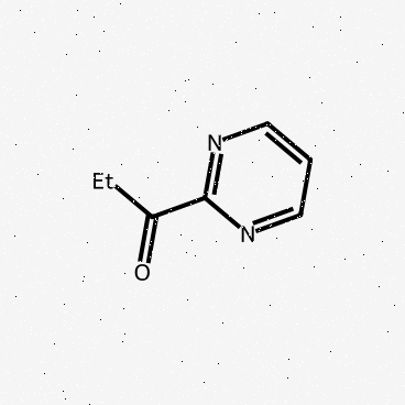 CCC(=O)c1ncccn1